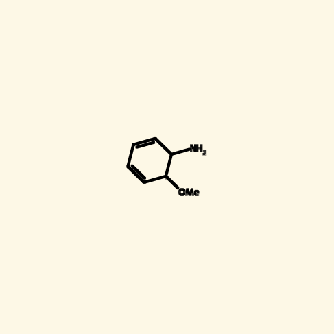 CO[C]1C=CC=CC1N